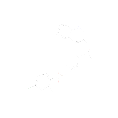 C/C(=C\C(F)C(C)Oc1cnc2ccccc2c1)NS(=O)(=O)c1ccc(Cl)cc1Cl